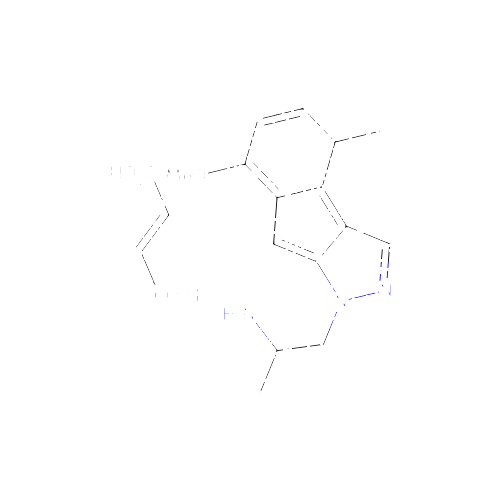 COC1=C2C=c3c(cnn3CC(C)N)=C2C(C)C=C1.O=C(O)C=CC(=O)O